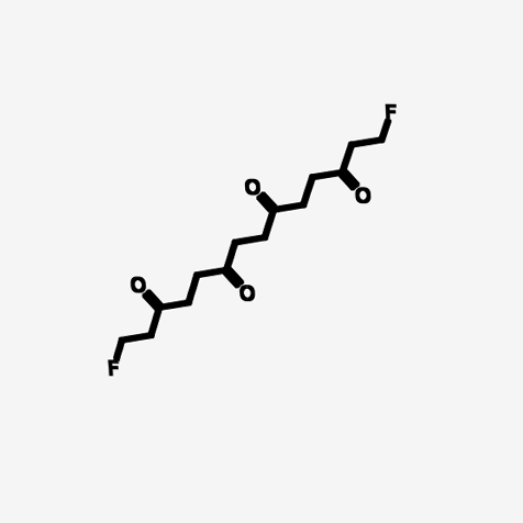 O=C(CCF)CCC(=O)CCC(=O)CCC(=O)CCF